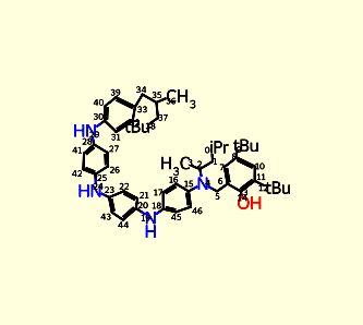 CC(C)CC(C)N(Cc1cc(C(C)(C)C)cc(C(C)(C)C)c1O)c1ccc(Nc2ccc(Nc3ccc(Nc4ccc(CC(C)CC(C)(C)C)cc4)cc3)cc2)cc1